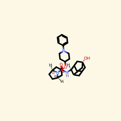 O=C(N[C@H]1C2CC3CC1C[C@](O)(C3)C2)N1[C@@H]2CC[C@H]1C[C@@H](OC1CCN(c3ccccc3)CC1)C2